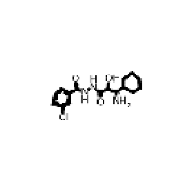 N[C@H](C1CCCCC1)C(O)C(=O)NNC(=O)c1cccc(Cl)c1